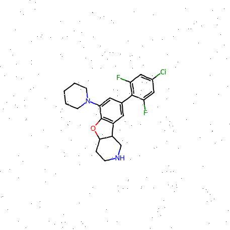 Fc1cc(Cl)cc(F)c1-c1cc2c(c(N3CCCCC3)c1)OC1CCNCC21